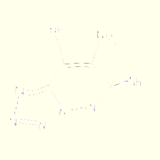 Nc1nn2nnnc2c(N)c1[N+](=O)[O-]